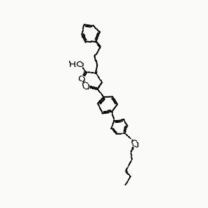 CCCCCOc1ccc(-c2ccc(C(=O)CC(CCCc3ccccc3)C(=O)O)cc2)cc1